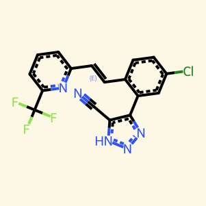 N#Cc1[nH]nnc1-c1cc(Cl)ccc1/C=C/c1cccc(C(F)(F)F)n1